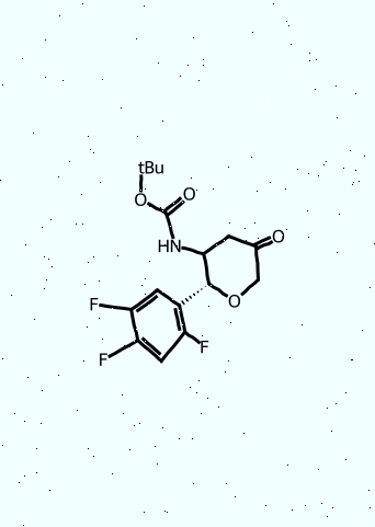 CC(C)(C)OC(=O)NC1CC(=O)CO[C@@H]1c1cc(F)c(F)cc1F